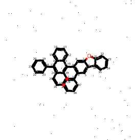 c1ccc(-c2cc3c(cc2-c2c4ccccc4c(-c4ccccc4)c4ccccc24)oc2ccccc23)cc1